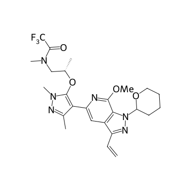 C=Cc1nn(C2CCCCO2)c2c(OC)nc(-c3c(C)nn(C)c3O[C@@H](C)CN(C)C(=O)C(F)(F)F)cc12